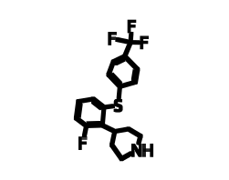 Fc1cccc(Sc2ccc(C(F)(F)F)cc2)c1C1CCNCC1